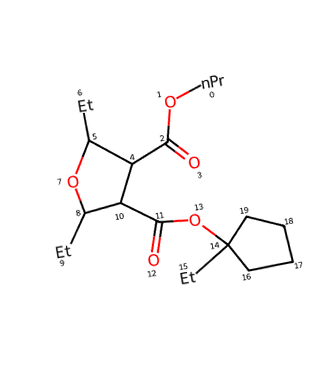 CCCOC(=O)C1C(CC)OC(CC)C1C(=O)OC1(CC)CCCC1